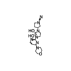 N#CN1CCC(N2CCN(c3nccc(N4CCOCC4)n3)S2(O)O)C1